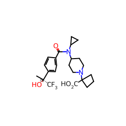 C[C@](O)(c1ccc(C(=O)N(C2CC2)C2CCN(C3(C(=O)O)CCC3)CC2)cc1)C(F)(F)F